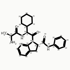 C[C@H](N)C(=O)N[C@H](C(=O)N1c2ncccc2C[C@H]1C(=O)Nc1ccccc1)C1CCCCC1